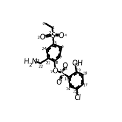 CCS(=O)(=O)c1ccc(OS(=O)(=O)c2cc(Cl)ccc2O)c(CN)c1